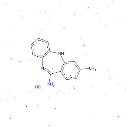 Cc1ccc2c(c1)Nc1ccccc1N=C2N.Cl